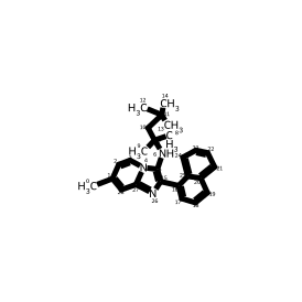 Cc1ccn2c(NC(C)(C)CC(C)(C)C)c(-c3cccc4ccccc34)nc2c1